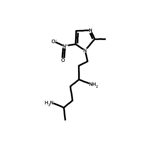 Cc1ncc([N+](=O)[O-])n1CCC(N)CCC(C)N